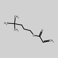 C=CC(=O)OCCCC(C)(C)N